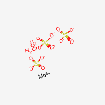 O.O.O=S(=O)([O-])[O-].O=S(=O)([O-])[O-].O=S(=O)([O-])[O-].[Mo+6]